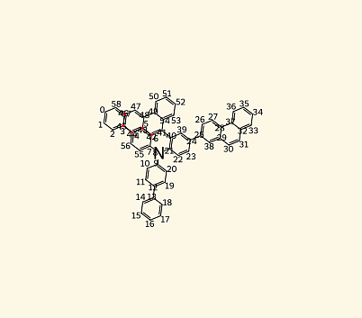 c1ccc(-c2ccc(N(c3ccc(-c4ccccc4)cc3)c3ccc(-c4ccc5c(ccc6ccccc65)c4)cc3-c3cc4ccccc4c4ccccc34)cc2)cc1